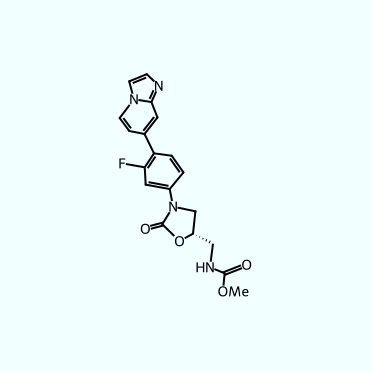 COC(=O)NC[C@H]1CN(c2ccc(-c3ccn4ccnc4c3)c(F)c2)C(=O)O1